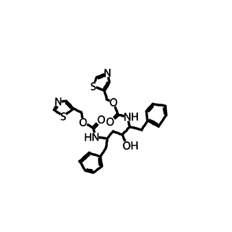 O=C(NC(Cc1ccccc1)CC(O)C(Cc1ccccc1)NC(=O)OCc1cncs1)OCc1cncs1